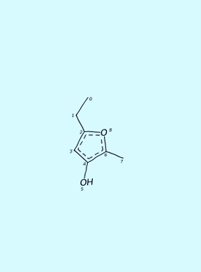 CCc1cc(O)c(C)o1